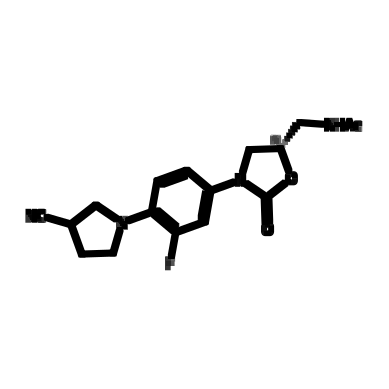 CC(=O)NC[C@H]1CN(c2ccc(N3CCC(C#N)C3)c(F)c2)C(=O)O1